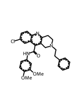 COc1ccc(NC(=O)c2c3c(nc4ccc(Cl)cc24)CCN(CCc2ccccc2)C3)cc1OC